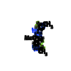 COc1nc(N[C@@H]2CCN(C)CC2(F)F)nn2cc(F)c(-c3ccc4nnn([C@@H](C)C(F)F)c4c3)c12